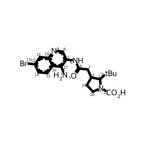 CC(C)(C)C1C(CC(=O)Nc2cnc3cc(Br)ccc3c2N)CCN1C(=O)O